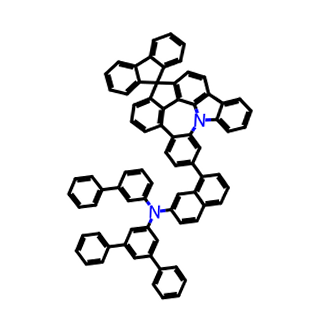 c1ccc(-c2cccc(N(c3cc(-c4ccccc4)cc(-c4ccccc4)c3)c3ccc4cccc(-c5ccc6c(c5)-n5c7ccccc7c7ccc8c(c75)-c5c-6cccc5C85c6ccccc6-c6ccccc65)c4c3)c2)cc1